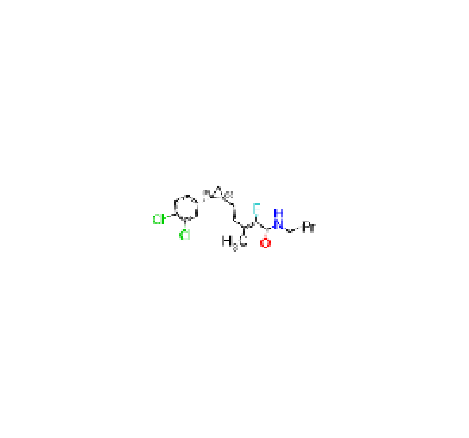 CC(C=C[C@@H]1C[C@H]1c1ccc(Cl)c(Cl)c1)=C(F)C(=O)NCC(C)C